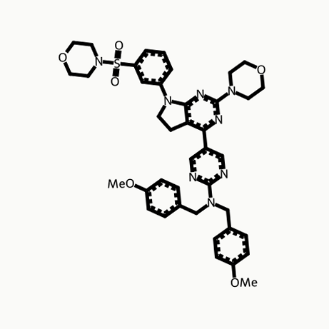 COc1ccc(CN(Cc2ccc(OC)cc2)c2ncc(-c3nc(N4CCOCC4)nc4c3CCN4c3cccc(S(=O)(=O)N4CCOCC4)c3)cn2)cc1